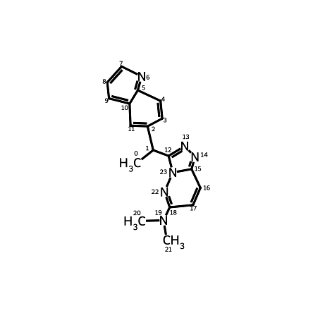 CC(c1ccc2ncccc2c1)c1nnc2ccc(N(C)C)nn12